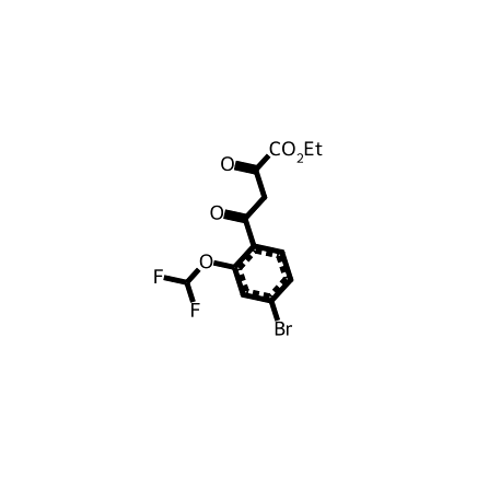 CCOC(=O)C(=O)CC(=O)c1ccc(Br)cc1OC(F)F